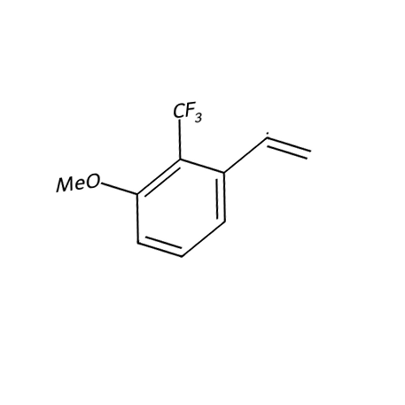 C=[C]c1cccc(OC)c1C(F)(F)F